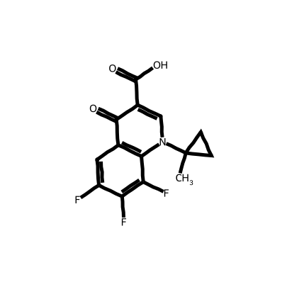 CC1(n2cc(C(=O)O)c(=O)c3cc(F)c(F)c(F)c32)CC1